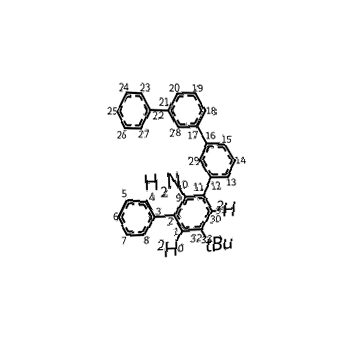 [2H]c1c(-c2ccccc2)c(N)c(-c2cccc(-c3cccc(-c4ccccc4)c3)c2)c([2H])c1C(C)(C)C